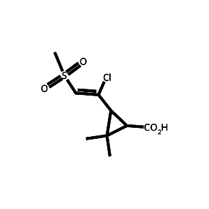 CC1(C)C(C(=O)O)C1/C(Cl)=C/S(C)(=O)=O